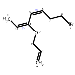 C=CCOC(/C=C\CCC(C)C)=C/C